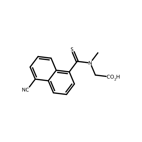 CN(CC(=O)O)C(=S)c1cccc2c(C#N)cccc12